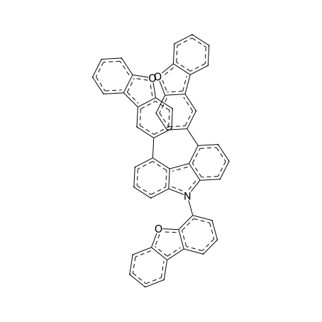 c1ccc2c(c1)oc1ccc(-c3cccc4c3c3c(-c5ccc6oc7ccccc7c6c5)cccc3n4-c3cccc4c3oc3ccccc34)cc12